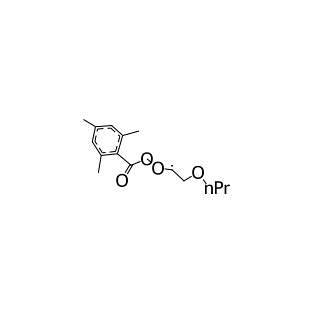 CCCOC[CH]OOC(=O)c1c(C)cc(C)cc1C